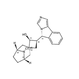 O=C(O)N1[C@@H]2CC[C@H]1C[C@]1(C[C@H]([C@H]3c4ccccc4-c4cncn43)[C@@H]1O)C2